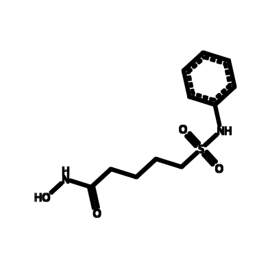 O=C(CCCCS(=O)(=O)Nc1ccccc1)NO